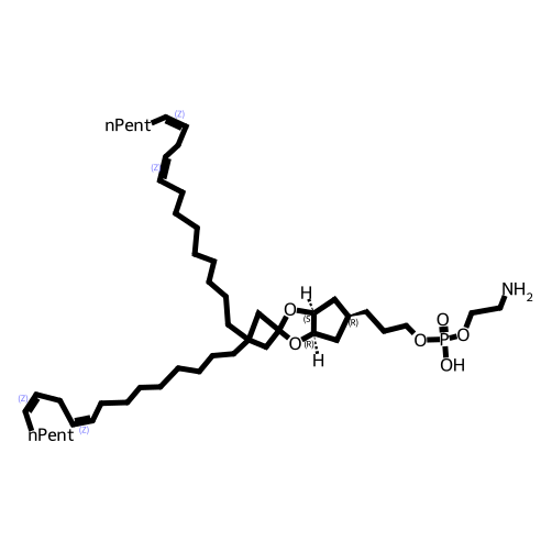 CCCCC/C=C\C/C=C\CCCCCCCCC1(CCCCCCCC/C=C\C/C=C\CCCCC)CC2(C1)O[C@H]1C[C@@H](CCCOP(=O)(O)OCCN)C[C@H]1O2